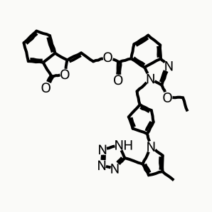 CCOc1nc2cccc(C(=O)OCC=C3OC(=O)c4ccccc43)c2n1Cc1ccc(-n2cc(C)cc2-c2nnn[nH]2)cc1